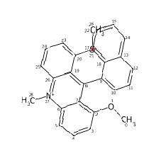 COc1cccc2c1c(-c1cccc3ccccc13)c1c(OC)cccc1[n+]2C